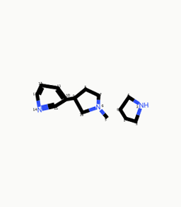 C1CCNC1.CN1CCC(c2cccnc2)C1